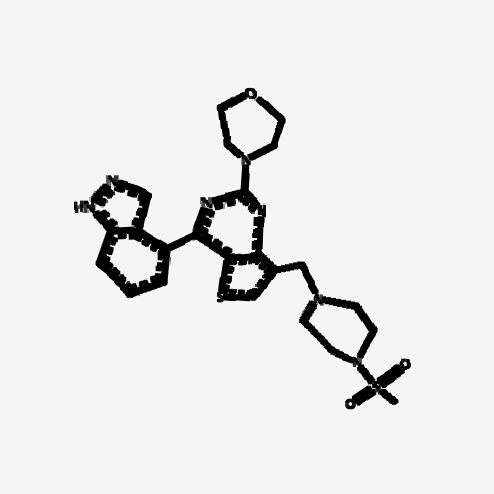 CS(=O)(=O)N1CCN(Cc2csc3c(-c4cccc5[nH]ncc45)nc(N4CCOCC4)nc23)CC1